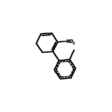 Cc1ccccc1C1=C([N+](=O)[O-])C=CCC1